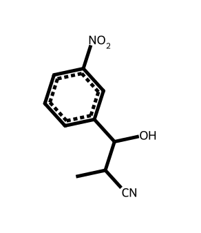 CC(C#N)C(O)c1cccc([N+](=O)[O-])c1